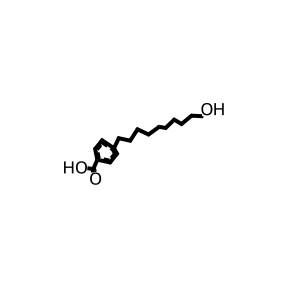 O=C(O)c1ccc(CCCCCCCCCCO)cc1